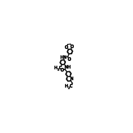 C=Cc1ccc2cc(C(=O)Nc3cc(NC(=O)c4ccc5c(c4)OCCO5)ccc3C)ccc2n1